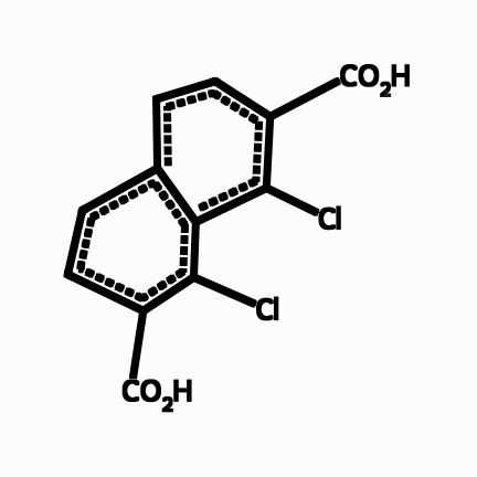 O=C(O)c1ccc2ccc(C(=O)O)c(Cl)c2c1Cl